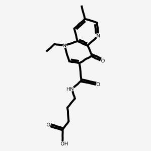 CCn1cc(C(=O)NCCCC(=O)O)c(=O)c2ncc(C)cc21